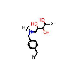 CC(C)Cc1ccc(CN(C)CC(O)C(O)C(O)C(C)C)cc1